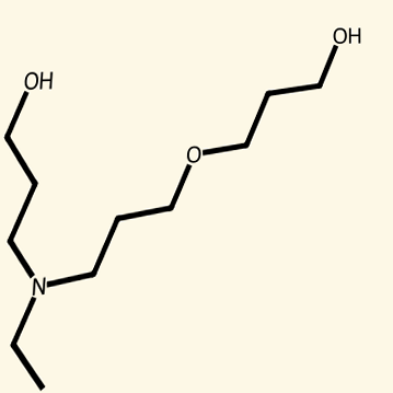 CCN(CCCO)CCCOCCCO